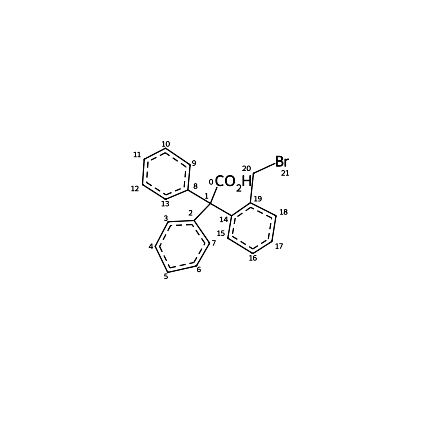 O=C(O)C(c1ccccc1)(c1ccccc1)c1ccccc1CBr